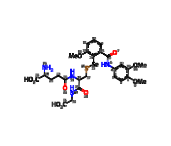 COc1ccc(NC(=O)c2cccc(OC)c2[Se]SCC(NC(=O)CCC(N)C(=O)O)C(=O)NCC(=O)O)cc1OC